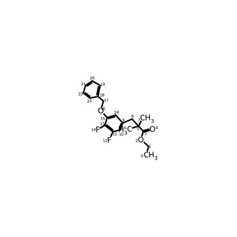 CCOC(=O)C(C)(C)Cc1cc(F)c(F)c(OCc2ccccc2)c1